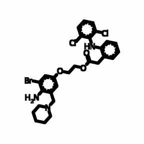 Nc1c(Br)cc(OCCOC(=O)Cc2ccccc2Nc2c(Cl)cccc2Cl)cc1CN1CCCCC1